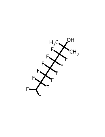 CC(C)(O)C(F)(F)C(F)(F)C(F)(F)C(F)(F)C(F)(F)C(F)F